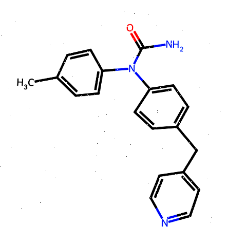 Cc1ccc(N(C(N)=O)c2ccc(Cc3ccncc3)cc2)cc1